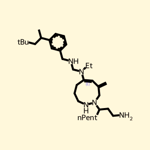 C=C1/C=C(/N(CC)CNCc2cccc(C(C)CC(C)(C)C)c2)CCCNN(C(CCN)CCCCC)C1